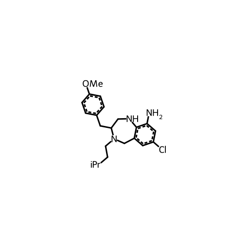 COc1ccc(CC2CNc3c(N)cc(Cl)cc3CN2CCC(C)C)cc1